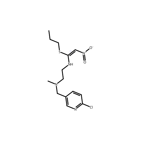 CCCS/C(=C/[N+](=O)[O-])NCCN(C)Cc1ccc(Cl)nc1